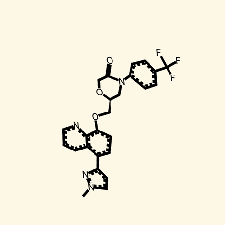 Cn1ccc(-c2ccc(OC[C@@H]3CN(c4ccc(C(F)(F)F)cc4)C(=O)CO3)c3ncccc23)n1